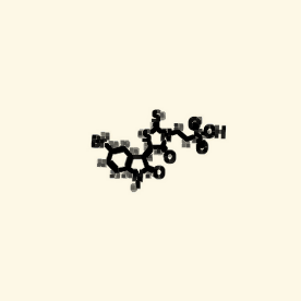 CN1C(=O)C(=C2SC(=S)N(CCS(=O)(=O)O)C2=O)c2cc(Br)ccc21